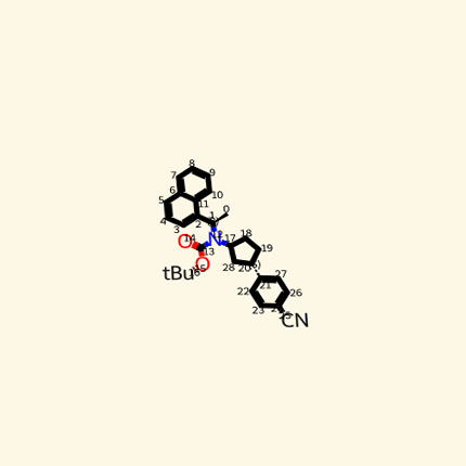 C[C@H](c1cccc2ccccc12)N(C(=O)OC(C)(C)C)C1CC[C@H](c2ccc(C#N)cc2)C1